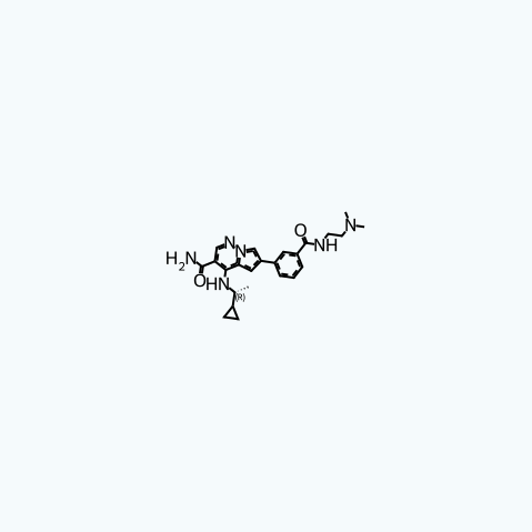 C[C@@H](Nc1c(C(N)=O)cnn2cc(-c3cccc(C(=O)NCCN(C)C)c3)cc12)C1CC1